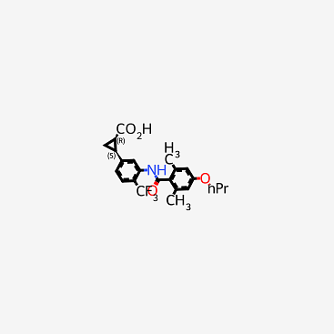 CCCOc1cc(C)c(C(=O)Nc2cc([C@H]3C[C@H]3C(=O)O)ccc2C(F)(F)F)c(C)c1